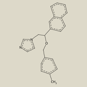 Cc1ccc(COC(Cn2ccnc2)c2ccc3ccccc3c2)cc1